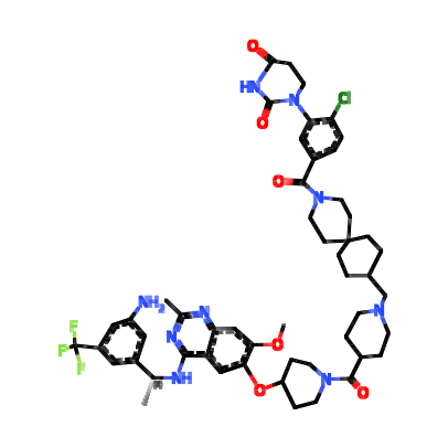 COc1cc2nc(C)nc(N[C@H](C)c3cc(N)cc(C(F)(F)F)c3)c2cc1OC1CCN(C(=O)C2CCN(CC3CCC4(CC3)CCN(C(=O)c3ccc(Cl)c(N5CCC(=O)NC5=O)c3)CC4)CC2)CC1